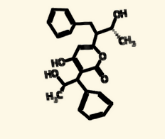 C[C@@H](O)C(Cc1ccccc1)c1cc(O)c(C(c2ccccc2)[C@@H](C)O)c(=O)o1